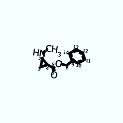 CNC1CC1C(=O)OCc1ccccc1